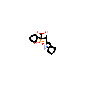 CC(c1cc2ccccc2[nH]1)C(C(=O)O)(c1ccccc1)[PH](=O)O